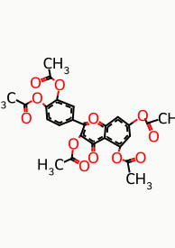 CC(=O)Oc1cc(OC(C)=O)c2c(=O)c(OC(C)=O)c(-c3ccc(OC(C)=O)c(OC(C)=O)c3)oc2c1